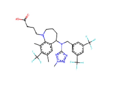 Cc1cc2c(c(C)c1C(F)(F)F)N(CCCC(=O)O)CCCC2N(Cc1cc(C(F)(F)F)cc(C(F)(F)F)c1)c1nnn(C)n1